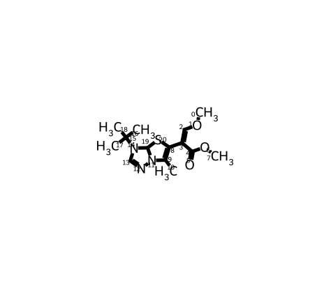 COC=C(C(=O)OC)C1=C(C)N2N=CN(C(C)(C)C)C2S1